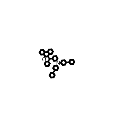 c1ccc(-c2ccc(N(c3ccc(-c4ccccc4)cc3)c3cccc(C4c5ccccc5Oc5c4c4ccccc4c4ccccc54)c3)cc2)cc1